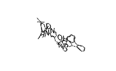 CN(C(=O)OCC1c2ccccc2-c2ccccc21)[C@H](Cc1ccnc(NC(=O)OC(C)(C)C)c1)C(=O)O